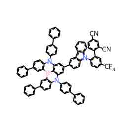 N#Cc1ccc(-c2cc(C(F)(F)F)ccc2-n2c3ccccc3c3cc(-c4cc5c6c(c4)N(c4ccc(-c7ccccc7)cc4)c4ccc(-c7ccccc7)cc4B6c4cc(-c6ccccc6)ccc4N5c4ccc(-c5ccccc5)cc4)ccc32)c(C#N)c1